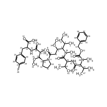 CCC(C)C(C(CC(=O)N1CCC[C@H]1C(OC)C(C)C(=O)NC(Cc1ccc(F)cc1)C(=O)O)OC)N(C)C(=O)C(NC(=O)C(C(C)C)N(C)C(=O)OCc1ccccc1)C(C)C